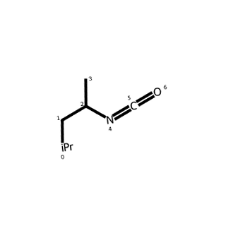 CC(C)CC(C)N=C=O